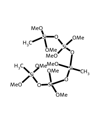 CO[Si](C)(OC)O[Si](OC)(OC)O[Si](C)(OC)O[Si](OC)(OC)O[Si](C)(OC)OC